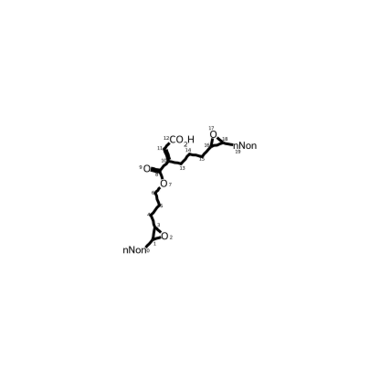 CCCCCCCCCC1OC1CCCOC(=O)C(=CC(=O)O)CCCC1OC1CCCCCCCCC